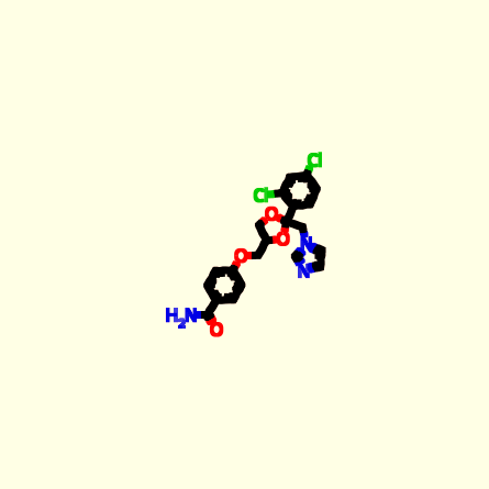 NC(=O)c1ccc(OCC2COC(Cn3ccnc3)(c3ccc(Cl)cc3Cl)O2)cc1